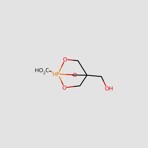 O=C(O)[PH]12OCC(CO)(CO1)CO2